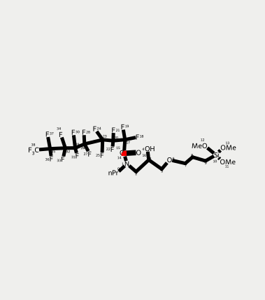 CCCN(CC(O)COCCC[Si](OC)(OC)OC)S(=O)(=O)C(F)(F)C(F)(F)C(F)(F)C(F)(F)C(F)(F)C(F)(F)C(F)(F)C(F)(F)F